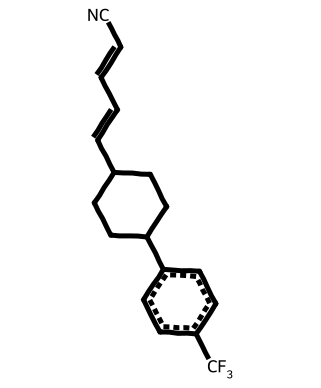 N#CC=CC=CC1CCC(c2ccc(C(F)(F)F)cc2)CC1